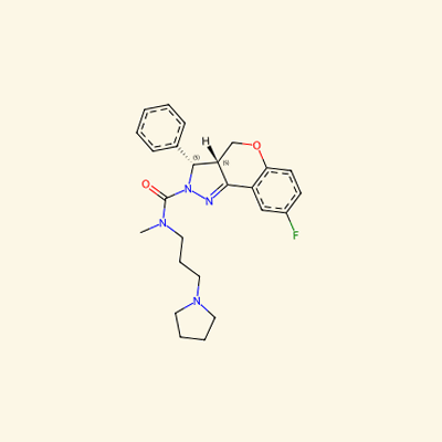 CN(CCCN1CCCC1)C(=O)N1N=C2c3cc(F)ccc3OC[C@H]2[C@H]1c1ccccc1